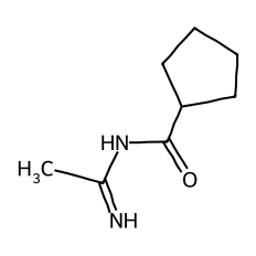 CC(=N)NC(=O)C1CCCC1